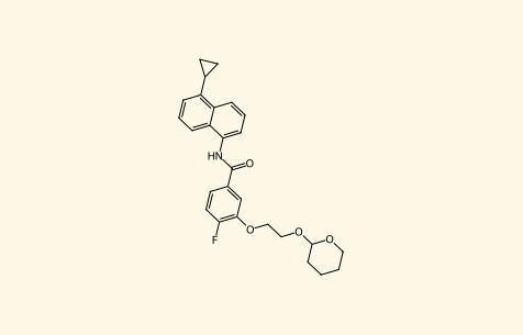 O=C(Nc1cccc2c(C3CC3)cccc12)c1ccc(F)c(OCCOC2CCCCO2)c1